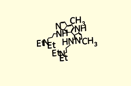 CCN(CC)CCCNc1nccc2c(C)c3[nH]c4cc(C)nc(NCCCN(CC)CC)c4c3cc12